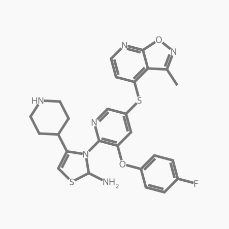 Cc1noc2nccc(Sc3cnc(N4C(C5CCNCC5)=CSC4N)c(Oc4ccc(F)cc4)c3)c12